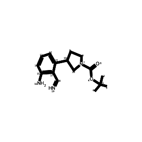 CC(C)(C)OC(=O)N1CCC(c2cccc(N)c2C=N)C1